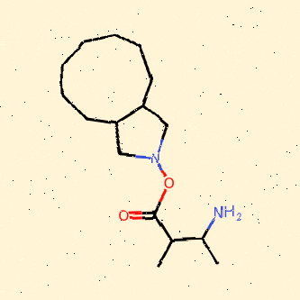 CC(N)C(C)C(=O)ON1CC2CCCCCCCC2C1